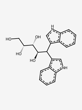 OC[C@@H](O)[C@H](O)[C@H](O)C(c1c[nH]c2ccccc12)c1c[nH]c2ccccc12